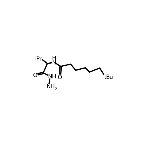 CC(C)C(NC(=O)CCCCCC(C)(C)C)C(=O)NN